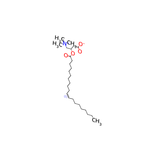 CCCCCCCC/C=C\CCCCCCCCCC(=O)OC(CC(=O)[O-])C[N+](C)(C)C